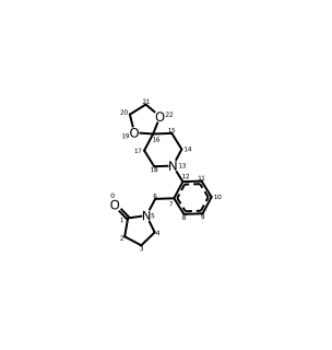 O=C1CCCN1Cc1ccccc1N1CCC2(CC1)OCCO2